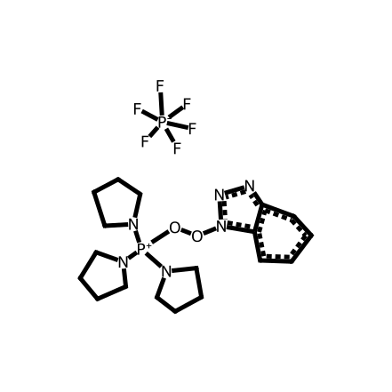 F[P-](F)(F)(F)(F)F.c1ccc2c(c1)nnn2OO[P+](N1CCCC1)(N1CCCC1)N1CCCC1